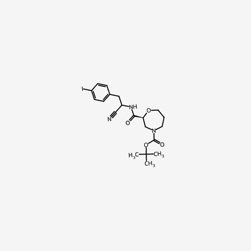 CC(C)(C)OC(=O)N1CCCO[C@H](C(=O)NC(C#N)Cc2ccc(I)cc2)C1